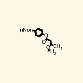 CCCCCCCCCc1ccc(OC(=O)CC(C)OP)cc1